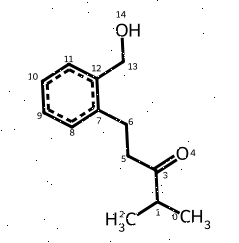 CC(C)C(=O)CCc1ccccc1CO